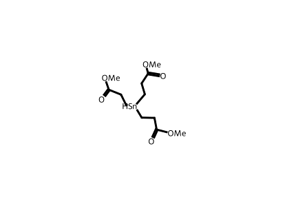 COC(=O)C[CH2][SnH]([CH2]CC(=O)OC)[CH2]CC(=O)OC